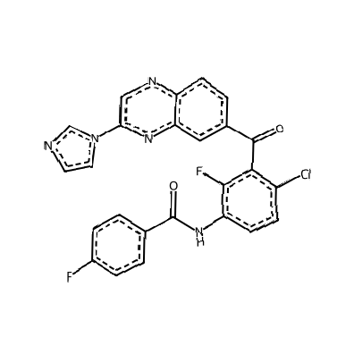 O=C(Nc1ccc(Cl)c(C(=O)c2ccc3ncc(-n4ccnc4)nc3c2)c1F)c1ccc(F)cc1